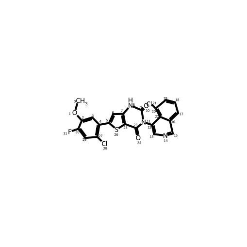 COc1cc(-c2cc3[nH]c(=O)n(-c4cncc5cccc(Cl)c45)c(=O)c3s2)c(Cl)cc1F